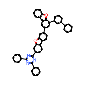 c1ccc(-c2cccc(-c3cc(-c4ccc5c(c4)oc4cc(-c6nc(-c7ccccc7)nc(-c7ccccc7)n6)ccc45)cc4c3oc3ccccc34)c2)cc1